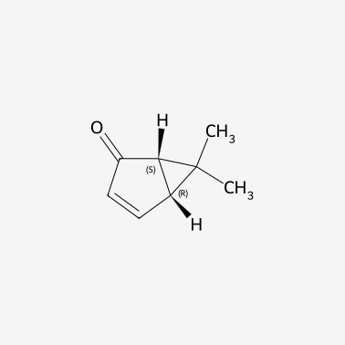 CC1(C)[C@@H]2C=CC(=O)[C@@H]21